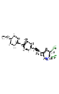 CCC1CCC(c2ccc(C#Cc3cnc(F)c(F)c3)cc2)CC1